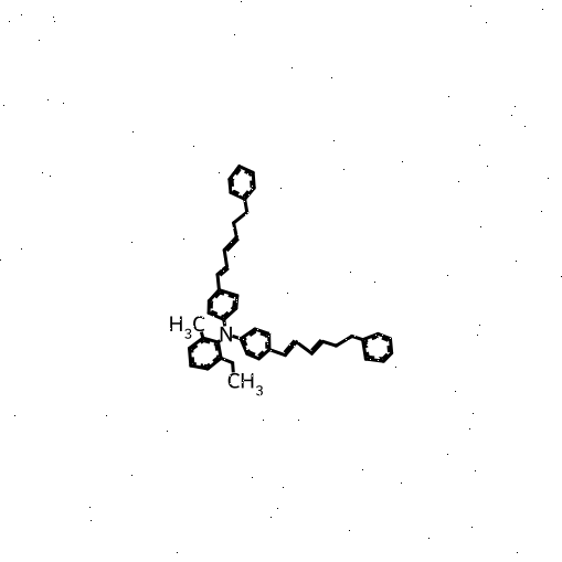 CCc1cccc(C)c1N(c1ccc(/C=C/C=C/CCc2ccccc2)cc1)c1ccc(/C=C/C=C/CCc2ccccc2)cc1